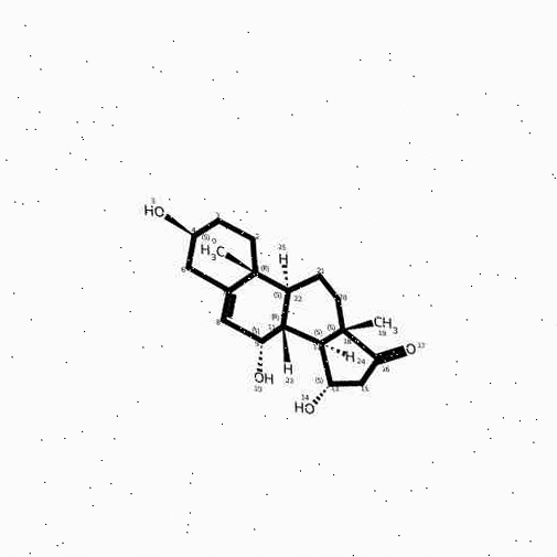 C[C@]12CC[C@H](O)CC1=C[C@@H](O)[C@H]1[C@@H]3[C@@H](O)CC(=O)[C@@]3(C)CC[C@@H]12